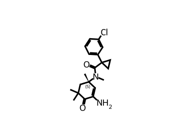 CN(C(=O)C1(c2cccc(Cl)c2)CC1)[C@]1(C)C=C(N)C(=O)C(C)(C)C1